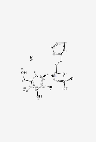 O=S(=O)([O-])O/C(CCc1ccccc1)=N/S[C@@H]1O[C@H](CO)[C@@H](O)[C@H](O)[C@H]1O.[K+]